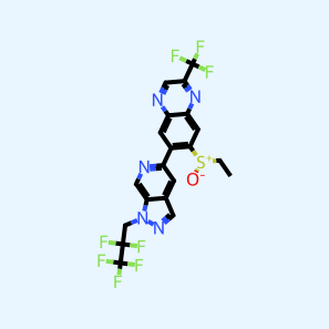 CC[S+]([O-])c1cc2nc(C(F)(F)F)cnc2cc1-c1cc2cnn(CC(F)(F)C(F)(F)F)c2cn1